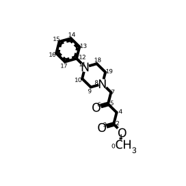 COC(=O)CC(=O)CN1CCN(c2ccccc2)CC1